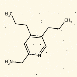 CCCc1cnc(CN)cc1CCC